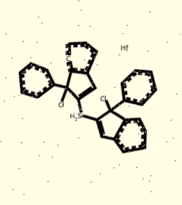 ClC1(c2ccccc2)C([SiH2]C2=Cc3ccccc3C2(Cl)c2ccccc2)=Cc2ccccc21.[Hf]